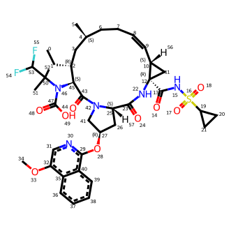 CC[C@@H]1C[C@@H](C)CCC=C[C@@H]2C[C@@]2(C(=O)NS(=O)(=O)C2CC2)NC(=O)[C@@H]2C[C@@H](Oc3ncc(OC)c4ccccc34)CN2C(=O)[C@H]1N(C(=O)O)C(C)(C)C(F)F